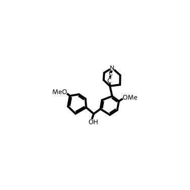 COc1ccc(C(O)c2ccc(OC)c(C34CCN(CC3)CC4)c2)cc1